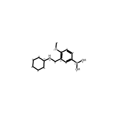 COc1ccc(B(O)O)cc1CNC1CCCCC1